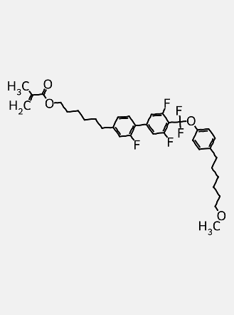 C=C(C)C(=O)OCCCCCCc1ccc(-c2cc(F)c(C(F)(F)Oc3ccc(CCCCCCOC)cc3)c(F)c2)c(F)c1